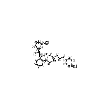 O=C(Nc1ccccc1N1CCN(C/C=C/c2ccc(Cl)cc2)CC1)c1ccnc(Cl)c1